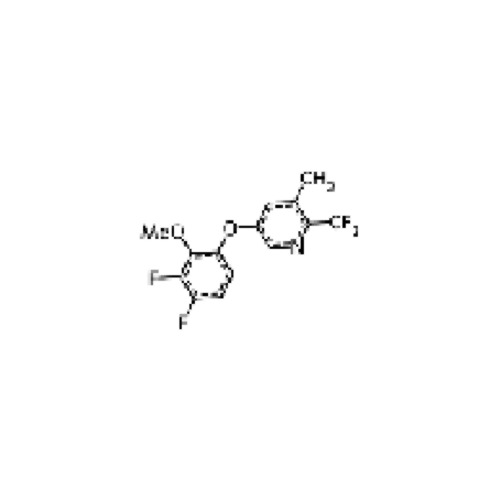 COc1c(Oc2cnc(C(F)(F)F)c(C)c2)ccc(F)c1F